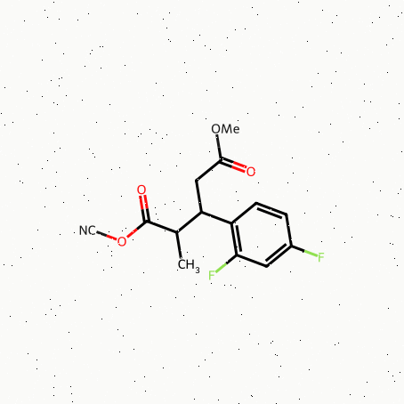 COC(=O)CC(c1ccc(F)cc1F)C(C)C(=O)OC#N